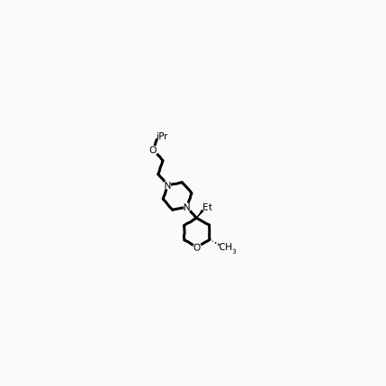 CC[C@]1(N2CCN(CCOC(C)C)CC2)CCO[C@@H](C)C1